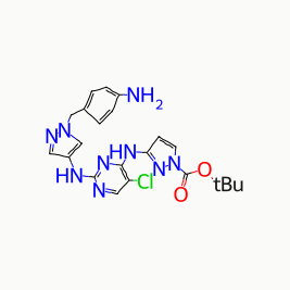 CC(C)(C)OC(=O)n1ccc(Nc2nc(Nc3cnn(Cc4ccc(N)cc4)c3)ncc2Cl)n1